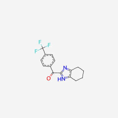 O=C(c1ccc(C(F)(F)F)cc1)c1nc2c([nH]1)CCCC2